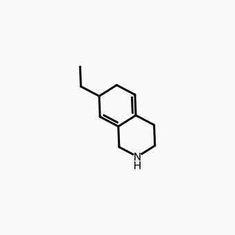 CCC1C=C2CNCCC2=CC1